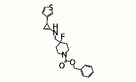 O=C(OCc1ccccc1)N1CCC(F)(CNC2CC2c2ccsc2)CC1